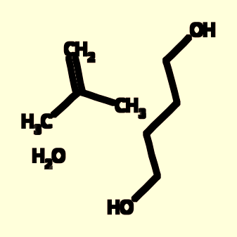 C=C(C)C.O.OCCCCO